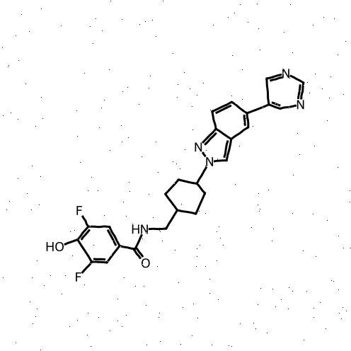 O=C(NCC1CCC(n2cc3cc(-c4cncnc4)ccc3n2)CC1)c1cc(F)c(O)c(F)c1